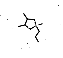 CCC[N+]1(C)CC(C)C(C)C1